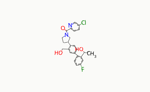 CC(O)c1cc(F)ccc1-c1ccc(C2CCN(C(=O)c3ccc(Cl)cn3)C2)c(CO)c1